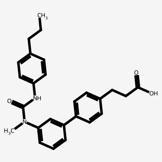 CCCc1ccc(NC(=O)N(C)c2cccc(-c3ccc(CCC(=O)O)cc3)c2)cc1